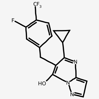 Oc1c(Cc2ccc(C(F)(F)F)c(F)c2)c(C2CC2)nc2ccnn12